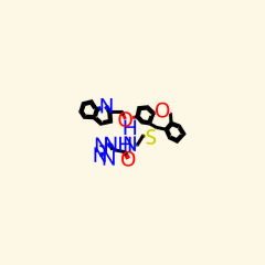 O=C(NCCSC1c2ccccc2COc2ccc(OCc3ccc4ccccc4n3)cc21)c1nnn[nH]1